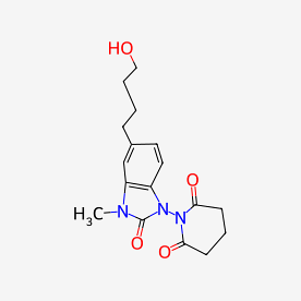 Cn1c(=O)n(N2C(=O)CCCC2=O)c2ccc(CCCCO)cc21